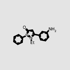 CCn1c(-c2cccc(N)c2)cc(=O)n1-c1ccccc1